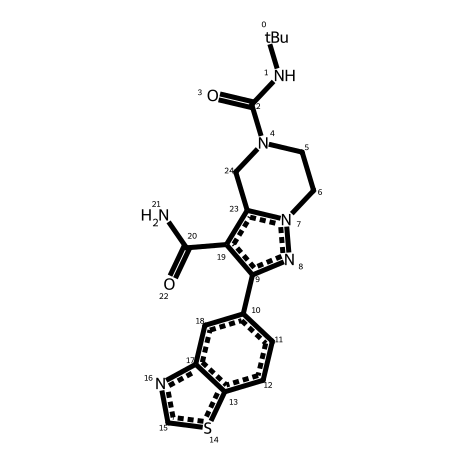 CC(C)(C)NC(=O)N1CCn2nc(-c3ccc4scnc4c3)c(C(N)=O)c2C1